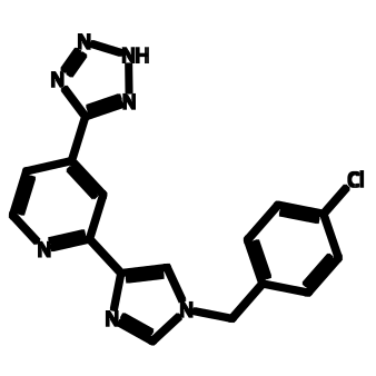 Clc1ccc(Cn2cnc(-c3cc(-c4nn[nH]n4)ccn3)c2)cc1